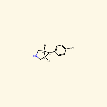 CCc1ccc([C@H]2[C@@H]3CNC[C@@H]32)cc1